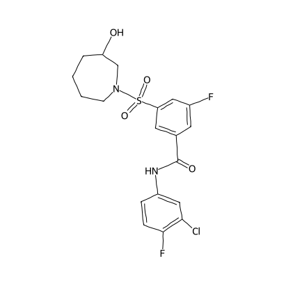 O=C(Nc1ccc(F)c(Cl)c1)c1cc(F)cc(S(=O)(=O)N2CCCCC(O)C2)c1